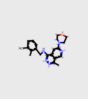 Cc1c(C#N)cccc1CNc1nnc(C)c2cnc(N3CCOCC3)cc12